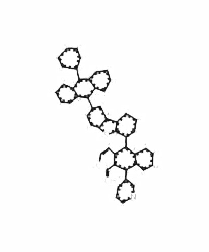 C=Cc1c(/C=C\C)c(-c2cccc3c2sc2ccc(-c4c5ccccc5c(-c5ccccc5)c5ccccc45)cc23)c2ccccc2c1-c1cccnc1